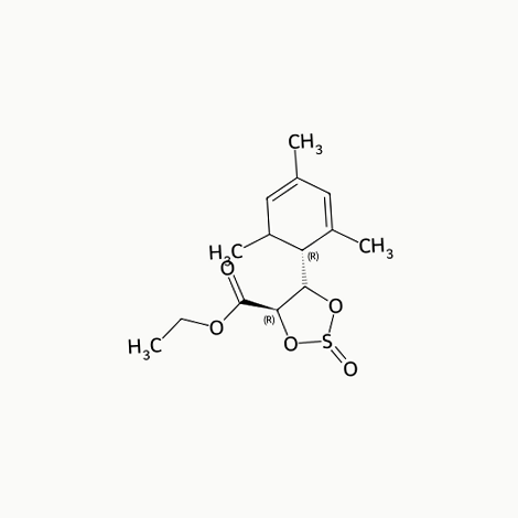 CCOC(=O)[C@@H]1OS(=O)OC1[C@H]1C(C)=CC(C)=CC1C